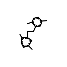 Cc1ccc(C)c(CCc2cc(C)ccc2C)c1